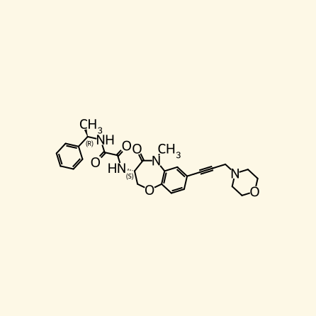 C[C@@H](NC(=O)C(=O)N[C@H]1COc2ccc(C#CCN3CCOCC3)cc2N(C)C1=O)c1ccccc1